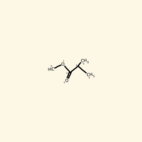 [CH]OC(=O)C(C)C